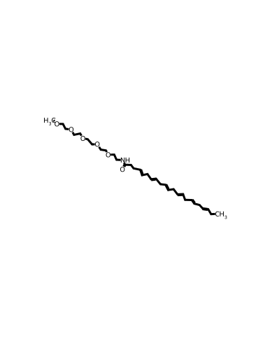 CCC=CCC=CCC=CCC=CCC=CCC=CCCC(=O)NCCOCCOCCOCCOCCOC